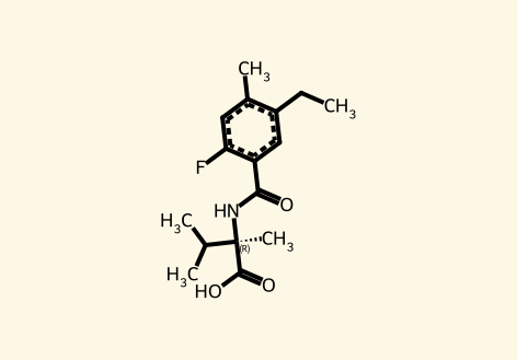 CCc1cc(C(=O)N[C@@](C)(C(=O)O)C(C)C)c(F)cc1C